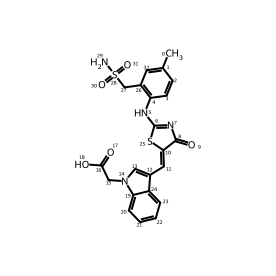 Cc1ccc(NC2=NC(=O)C(=Cc3cn(CC(=O)O)c4ccccc34)S2)c(CS(N)(=O)=O)c1